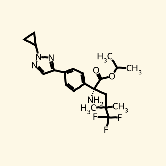 CC(C)OC(=O)[C@@](N)(CC(C)(C)C(F)(F)F)c1ccc(-c2cnn(C3CC3)n2)cc1